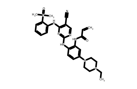 C=CC(=O)Nc1cc(N2CCN(CC)CC2)ccc1Nc1ncc(C#N)c(Nc2ccccc2P(C)(C)=O)n1